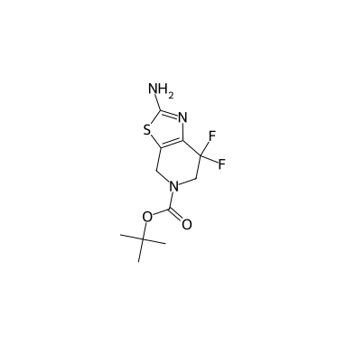 CC(C)(C)OC(=O)N1Cc2sc(N)nc2C(F)(F)C1